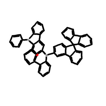 c1ccc(-c2ccccc2N(c2ccc3c(c2)-c2ccccc2C32c3ccccc3-c3ccccc32)c2ccc3c(c2)c2ccccc2n3-c2ccccc2)cc1